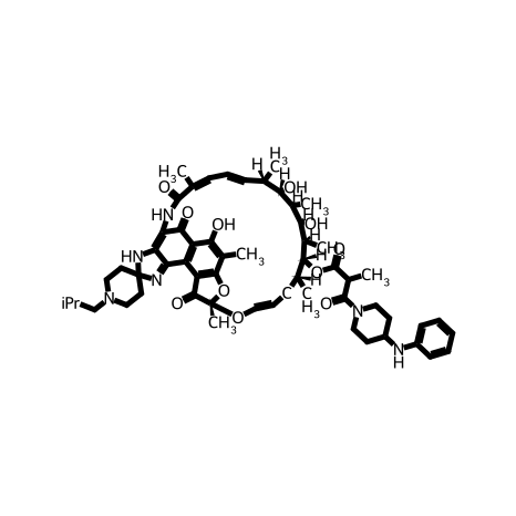 C/C1=C/C=C/[C@H](C)[C@H](O)[C@@H](C)[C@@H](O)[C@@H](C)[C@H](OC(=O)C(C)C(=O)N2CCC(Nc3ccccc3)CC2)[C@H](C)C/C=C/O[C@@]2(C)Oc3c(C)c(O)c4c(c3C2=O)C2=NC3(CCN(CC(C)C)CC3)NC2=C(NC1=O)C4=O